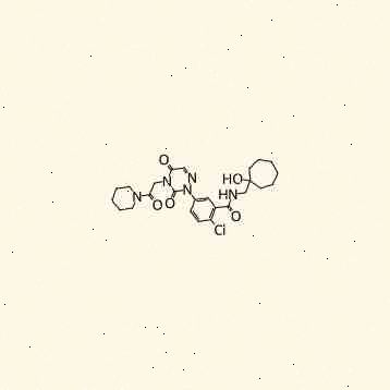 O=C(NCC1(O)CCCCCC1)c1cc(-n2ncc(=O)n(CC(=O)N3CCCCC3)c2=O)ccc1Cl